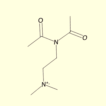 CC(=O)N(CC[N+](C)C)C(C)=O